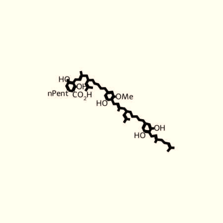 CCCCCc1cc(O)c(C/C=C(\C)CC(C=C(C)C)CCCCCc2cc(O)c(C/C=C(\C)CC(C=C(C)C)CCCCCc3cc(O)c(C/C=C(\C)CCC=C(C)C)c(O)c3)c(OC)c2)c(O)c1C(=O)O